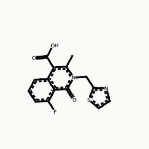 Cc1c(C(=O)O)c2cccc(F)c2c(=O)n1Cc1nccs1